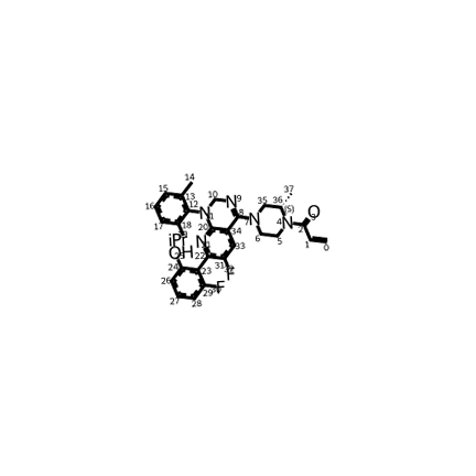 C=CC(=O)N1CCN(C2=NCN(c3c(C)cccc3C(C)C)c3nc(-c4c(O)cccc4F)c(F)cc32)C[C@@H]1C